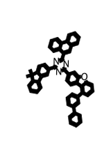 CC1(C)c2ccccc2-c2cc(-c3nc(-c4ccc5c(c4)oc4cccc(-c6cccc(-c7ccccc7)c6)c45)nc(-c4cc5ccccc5c5ccccc45)n3)ccc21